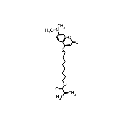 C=C(C)C(=O)OCCCCCCCCSc1cc(=O)oc2cc(N(C)C)ccc12